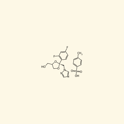 Cc1ccc(S(=O)(=O)O)cc1.OCC1CO[C@@](Cn2cncn2)(c2ccc(F)cc2F)O1